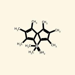 CC1=C(C)C(C)=[C]([Ti]([CH3])([CH3])(=[SiH2])[C]2=C(C)C(C)=C(C)C2)C1